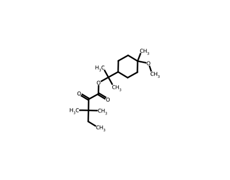 CCC(C)(C)C(=O)C(=O)OC(C)(C)C1CCC(C)(OC)CC1